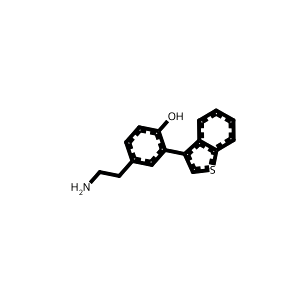 NCCc1ccc(O)c(-c2csc3ccccc23)c1